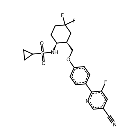 N#Cc1cnc(-c2ccc(OC[C@@H]3CC(F)(F)CC[C@@H]3NS(=O)(=O)C3CC3)cc2)c(F)c1